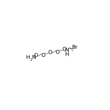 C/C(Br)=C\NOCCOCCOCCOCCON